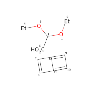 CCOC(OCC)C(=O)O.c1cc2ccc1-2